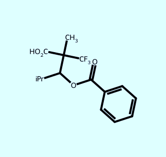 CC(C)C(OC(=O)c1ccccc1)C(C)(C(=O)O)C(F)(F)F